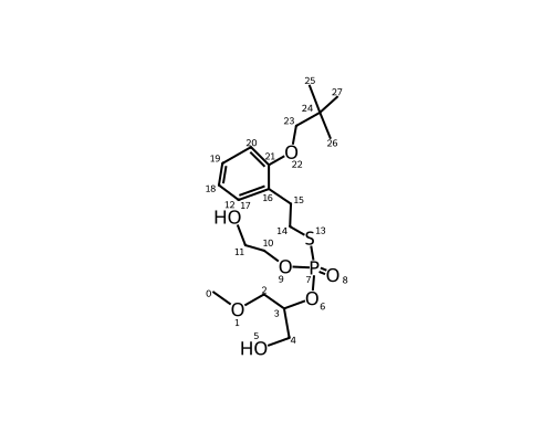 COCC(CO)OP(=O)(OCCO)SCCc1ccccc1OCC(C)(C)C